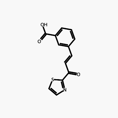 O=C(O)c1cccc(/C=C/C(=O)c2nccs2)c1